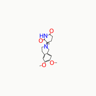 COc1cc2c(cc1OC)CN([C@@H]1CCC(=O)NC1=O)CC2